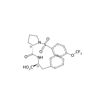 O=C(O)[C@H](Cc1ccccc1)NC(=O)[C@@H]1CCCN1S(=O)(=O)c1ccc(OC(F)(F)F)cc1